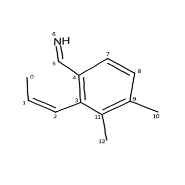 C/C=C\c1c(C=N)ccc(C)c1C